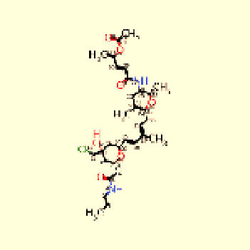 CCCNC(=O)C[C@@H]1C[C@@](O)(CCl)C[C@@H](C=CC(C)=CC[C@@H]2O[C@H](C)[C@H](NC(=O)C=CC(C)OC(C)=O)C[C@@H]2C)O1